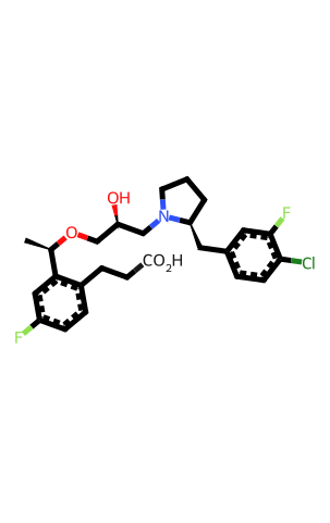 C[C@@H](OC[C@@H](O)CN1CCC[C@H]1Cc1ccc(Cl)c(F)c1)c1cc(F)ccc1CCC(=O)O